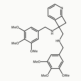 COc1cc(CNCC2(NCc3cc(OC)c(OC)c(OC)c3)Cc3ncccc32)cc(OC)c1OC